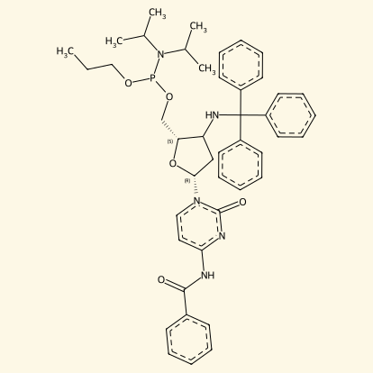 CCCOP(OC[C@H]1O[C@@H](n2ccc(NC(=O)c3ccccc3)nc2=O)CC1NC(c1ccccc1)(c1ccccc1)c1ccccc1)N(C(C)C)C(C)C